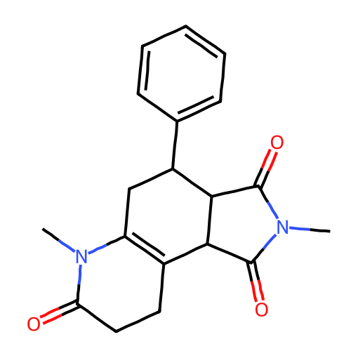 CN1C(=O)C2C3=C(CC(c4ccccc4)C2C1=O)N(C)C(=O)CC3